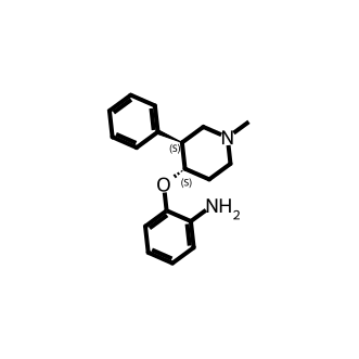 CN1CC[C@H](Oc2ccccc2N)[C@@H](c2ccccc2)C1